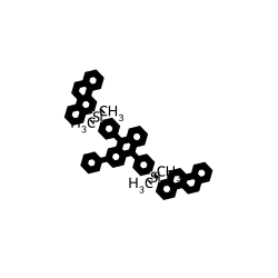 C[Si](C)(c1ccc(-c2c3ccccc3c(-c3ccc([Si](C)(C)c4cc5c6ccccc6ccc5c5ccccc45)cc3)c3cc(-c4ccccc4)ccc23)cc1)c1cccc2c1ccc1c3ccccc3ccc21